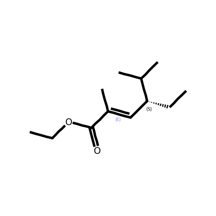 CCOC(=O)/C(C)=C/[C@@H](CC)C(C)C